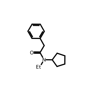 CCN(C(=O)Cc1ccccc1)C1CCCC1